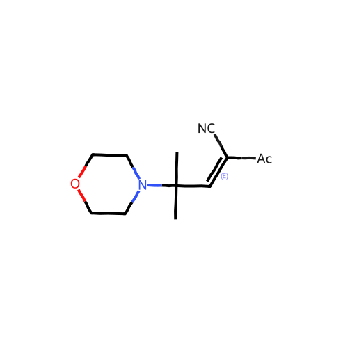 CC(=O)/C(C#N)=C/C(C)(C)N1CCOCC1